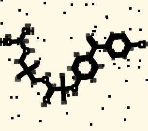 C=C(c1ccc(Cl)cc1)c1ccc(OC(C)(C)C(=O)OCC(C)(C)CON(O)O)cc1